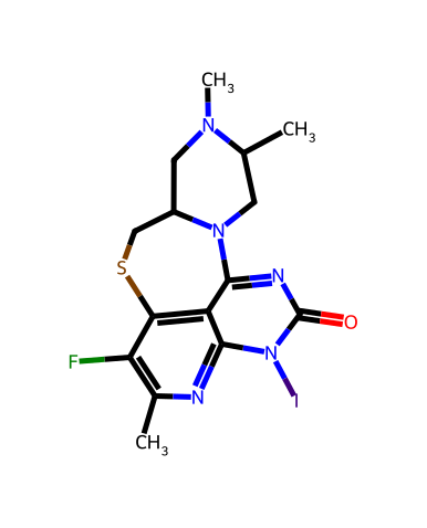 Cc1nc2c3c(nc(=O)n2I)N2CC(C)N(C)CC2CSc3c1F